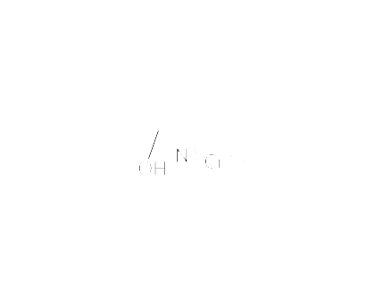 CO.[Cr+3].[N-3]